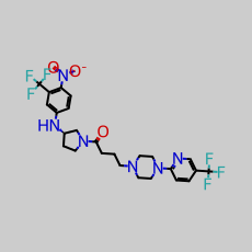 O=C(CCCN1CCN(c2ccc(C(F)(F)F)cn2)CC1)N1CC[C@@H](Nc2ccc([N+](=O)[O-])c(C(F)(F)F)c2)C1